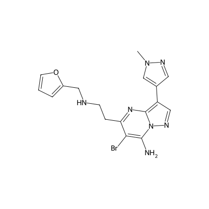 Cn1cc(-c2cnn3c(N)c(Br)c(CCNCc4ccco4)nc23)cn1